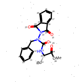 CCC(C)[C@H](NC(=O)N(Cc1ccccc1)N1C(=O)c2ccccc2C1=O)C(=O)OC